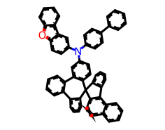 c1ccc(-c2ccc(N(c3ccc4c(c3)-c3ccccc3-c3ccccc3C43c4ccccc4-c4c3c3ccccc3c3ccccc43)c3ccc4oc5ccccc5c4c3)cc2)cc1